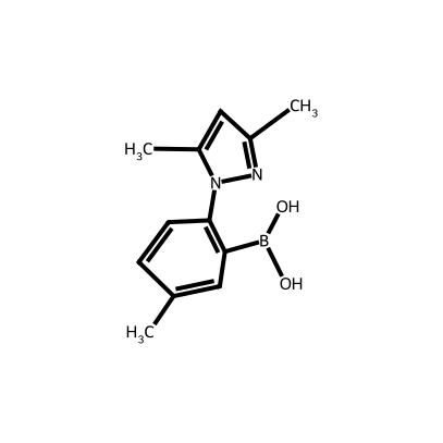 Cc1ccc(-n2nc(C)cc2C)c(B(O)O)c1